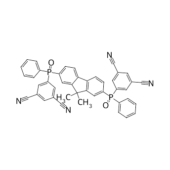 CC1(C)c2cc(P(=O)(c3ccccc3)c3cc(C#N)cc(C#N)c3)ccc2-c2ccc(P(=O)(c3ccccc3)c3cc(C#N)cc(C#N)c3)cc21